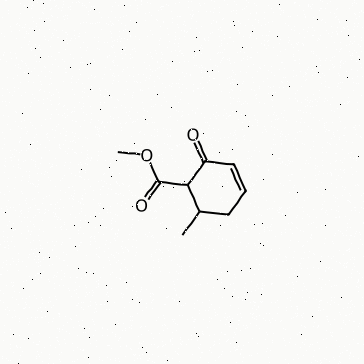 COC(=O)C1C(=O)C=CCC1C